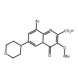 CCCCOc1c(C(=O)O)nc2c(C(C)=O)cc(N3CCOCC3)cn2c1=O